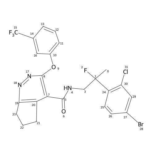 CC(F)(CNC(=O)c1c(Oc2cccc(C(F)(F)F)c2)nnc2c1CCC2)c1ccc(Br)cc1Cl